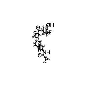 O=C(Nc1cn2cc(-c3csc(C(=O)N(CCO)CC(F)(F)F)c3)ccc2n1)C1CC1